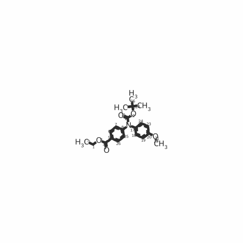 CCOC(=O)c1ccc(N(C(=O)OC(C)(C)C)c2ccc(OC)cc2)cc1